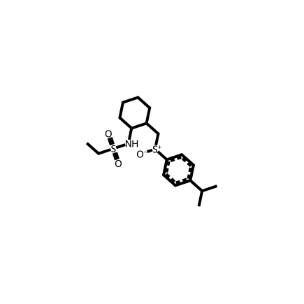 CCS(=O)(=O)NC1CCCCC1C[S+]([O-])c1ccc(C(C)C)cc1